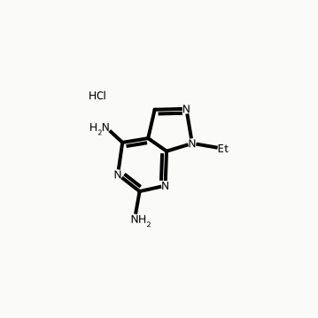 CCn1ncc2c(N)nc(N)nc21.Cl